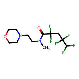 CN(CCN1CCOCC1)C(=O)C(F)(F)CC(F)(F)C(F)F